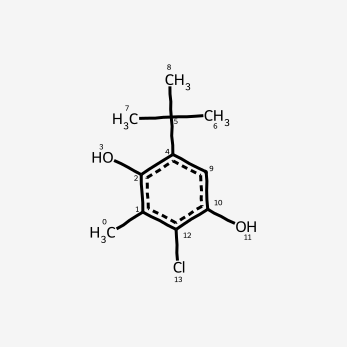 Cc1c(O)c(C(C)(C)C)cc(O)c1Cl